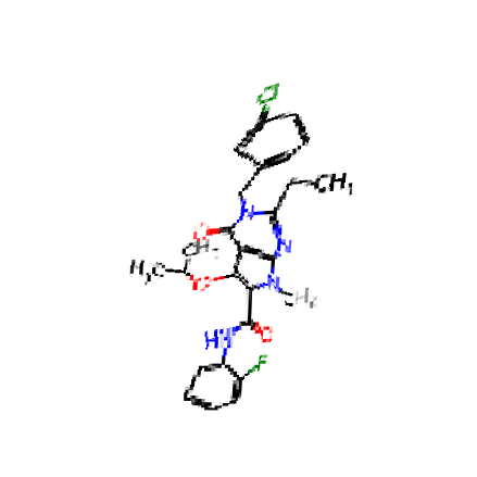 CCc1nc2c(c(OC(C)C)c(C(=O)Nc3ccccc3F)n2C)c(=O)n1Cc1cccc(Cl)c1